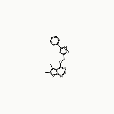 Cc1sc2ncnc(OCc3cc(-c4ccccc4)no3)c2c1C